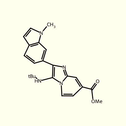 COC(=O)c1ccn2c(NC(C)(C)C)c(-c3ccc4ccn(C)c4c3)nc2c1